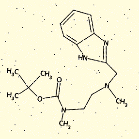 CN(CCN(C)C(=O)OC(C)(C)C)Cc1nc2ccccc2[nH]1